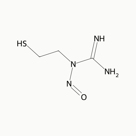 N=C(N)N(CCS)N=O